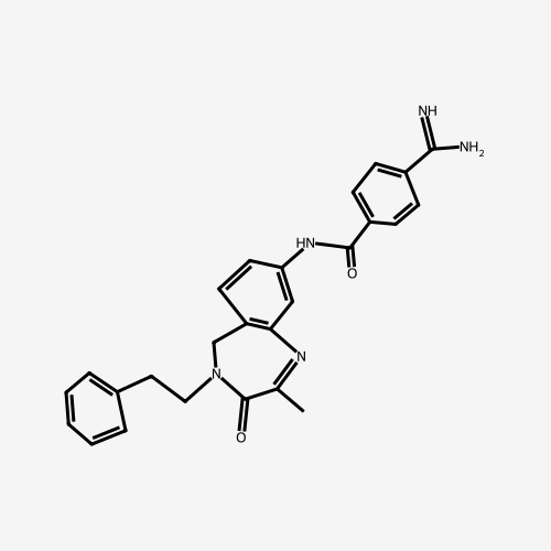 CC1=Nc2cc(NC(=O)c3ccc(C(=N)N)cc3)ccc2CN(CCc2ccccc2)C1=O